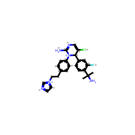 CC(C)(N)c1ccc(C2C(Cl)=CN=C(N)N2c2ccc(CCn3ccnc3)cc2)cc1F